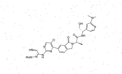 CN/N=C(\C=N)Nc1ncc(Cl)c(-c2ccc3c(c2)C(=O)N([C@H](C)C(=O)N[C@H](CO)c2ccnc(N(C)C)c2)C3)n1